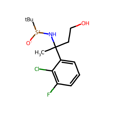 CC(CCO)(N[S+]([O-])C(C)(C)C)c1cccc(F)c1Cl